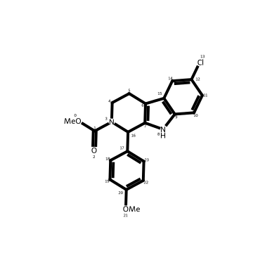 COC(=O)N1CCc2c([nH]c3ccc(Cl)cc23)C1c1ccc(OC)cc1